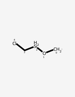 [CH2]O[SiH2]CCl